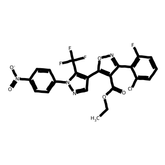 CCOC(=O)c1c(-c2c(F)cccc2Cl)noc1-c1cnn(-c2ccc([N+](=O)[O-])cc2)c1C(F)(F)F